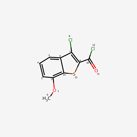 COc1cccc2c(Cl)c(C(=O)Cl)sc12